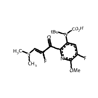 COc1nc(C(=O)/C(F)=C/N(C)C)c(N(C(=O)O)C(C)(C)C)cc1F